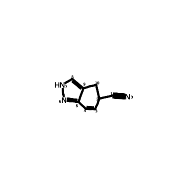 N#CC1C=Cc2n[nH]cc2C1